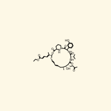 CCOC(=O)/C=C/C=C(\C)[C@@H]1C/C=C/C=C/C[C@H](C)[C@@H](O)[C@@H](CCC(C)=O)C(=O)N[C@@H](C(C)C)C(=O)NC(c2cccc(O)c2)C(=O)N2CCCC(N2)C(=O)O1